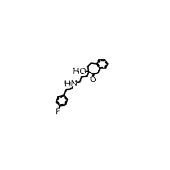 O=C1Cc2ccccc2CCC1(O)CCCNCCc1ccc(F)cc1